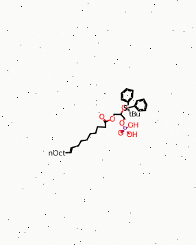 CCCCCCCCC=CCCCCCCCC(=O)OCC(COP(=O)(O)O)O[Si](c1ccccc1)(c1ccccc1)C(C)(C)C